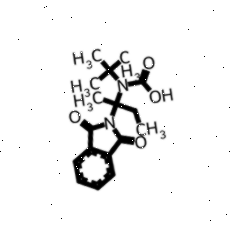 CCC(C)(N1C(=O)c2ccccc2C1=O)N(C(=O)O)C(C)(C)C